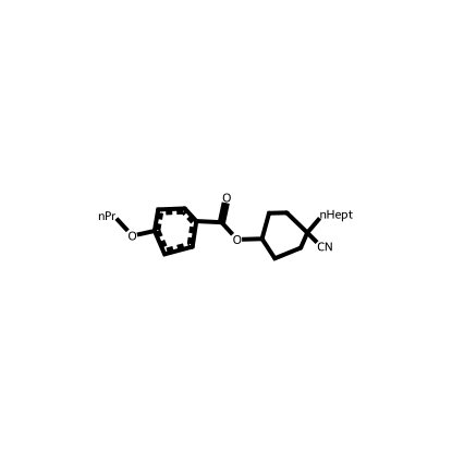 CCCCCCCC1(C#N)CCC(OC(=O)c2ccc(OCCC)cc2)CC1